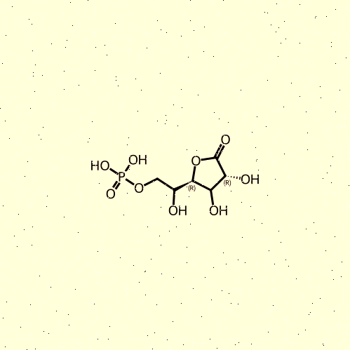 O=C1O[C@H](C(O)COP(=O)(O)O)C(O)[C@H]1O